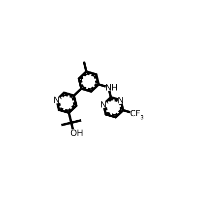 Cc1cc(Nc2nccc(C(F)(F)F)n2)cc(-c2cncc(C(C)(C)O)c2)c1